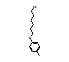 Cc1ccc(OCCCCCCO)cc1